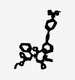 CCOC(=O)CC(c1ccccc1)N1CC(=O)N(C)c2ccc(C#Cc3ccc([N+](=O)[O-])cc3)cc2C1=O